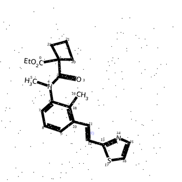 CCOC(=O)C1(C(=O)N(C)c2cccc(/C=C/c3nccs3)c2C)CCC1